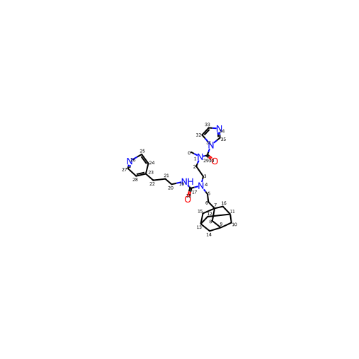 CN(CCN(CCC12CC3CC(CC(C3)C1)C2)C(=O)NCCCc1ccncc1)C(=O)n1ccnc1